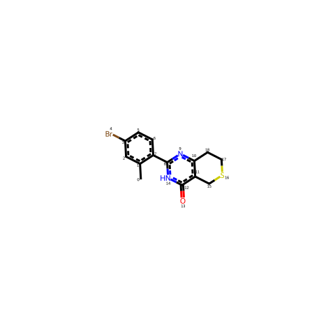 Cc1cc(Br)ccc1-c1nc2c(c(=O)[nH]1)CSCC2